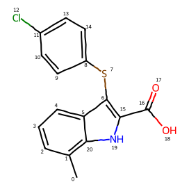 Cc1cccc2c(Sc3ccc(Cl)cc3)c(C(=O)O)[nH]c12